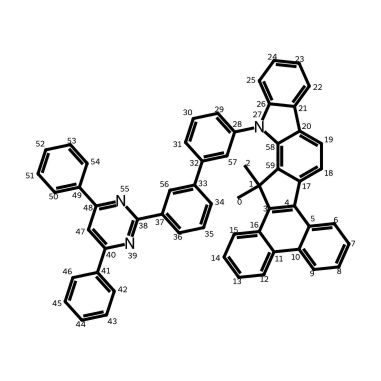 CC1(C)c2c(c3ccccc3c3ccccc23)-c2ccc3c4ccccc4n(-c4cccc(-c5cccc(-c6nc(-c7ccccc7)cc(-c7ccccc7)n6)c5)c4)c3c21